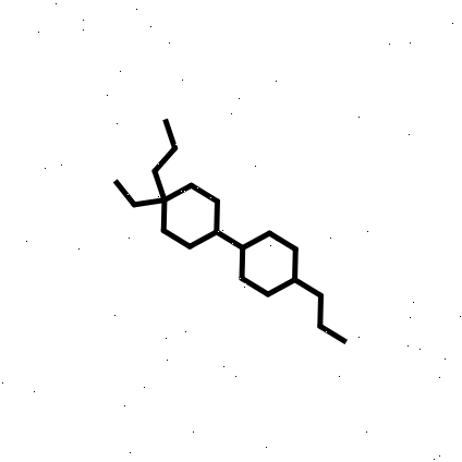 CCCC1CCC(C2CCC(CC)(CCC)CC2)CC1